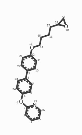 c1ccc(Oc2ccc(-c3ccc(OCCCCC4CO4)cc3)cc2)nc1